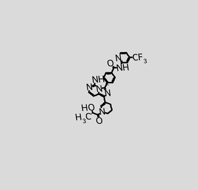 C[C@H](O)C(=O)N1C=C(c2nc(-c3ccc(C(=O)Nc4cc(C(F)(F)F)ccn4)cc3)n3c(N)nccc23)CCC1